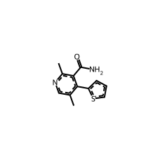 Cc1cnc(C)c(C(N)=O)c1-c1cccs1